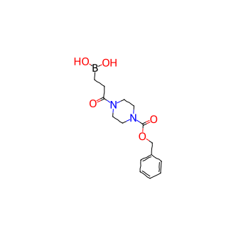 O=C(CCB(O)O)N1CCN(C(=O)OCc2ccccc2)CC1